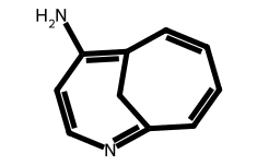 NC1=C2C=CC=CC(=NC=C1)C2